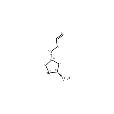 C=CCO[C@H]1CN[C@H](C(=O)O)C1